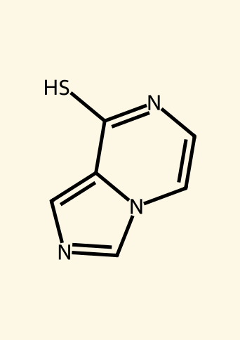 Sc1nccn2cncc12